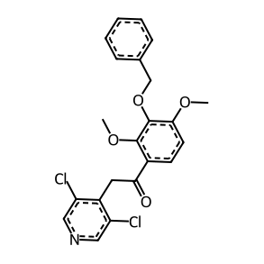 COc1ccc(C(=O)Cc2c(Cl)cncc2Cl)c(OC)c1OCc1ccccc1